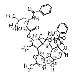 CC(=O)O[C@H]1C2=C(C)[C@@H](OC(=O)[C@H](O)[C@H](CC(C)C)NC(=O)c3ccccc3)CC2(C(C)(C)O)[C@@H](OC(=O)c2ccccc2)C2[C@@](C)([C@@H](O)C[C@H]3OC[C@@]23OC(C)=O)[C@H]1O